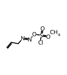 C.C=CCN=NOS(=O)(=O)Cl